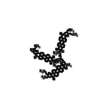 CCCCC(CC)CN1C(=O)c2ccc3c4ccc5c6c(ccc(c7ccc(c2c37)C1=O)c64)C(=O)N(C(C)COCC(CC)(COCC(C)N1C(=O)c2ccc3c4ccc6c7c(ccc(c8ccc(c2c38)C1=O)c74)C(=O)N(CC(CC)CCCC)C6=O)COCC(C)N1C(=O)c2ccc3c4ccc6c7c(ccc(c8ccc(c2c38)C1=O)c74)C(=O)N(CC(CC)CCCC)C6=O)C5=O